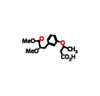 COC(=O)[C@H](Cc1cccc(OC(C)CC(=O)O)c1)OC